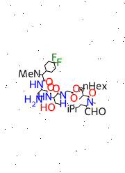 CCCCCC[C@@H](OC(=O)CNC(=O)C(NC(=O)C(CN)NC(=O)C(NC)C1CCC(F)(F)CC1)C(C)O)C(C)C(=O)N(C)C(C=O)CC(C)C